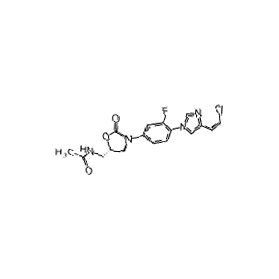 CC(=O)NC[C@H]1CN(c2ccc(-n3cnc(/C=C\Cl)c3)c(F)c2)C(=O)O1